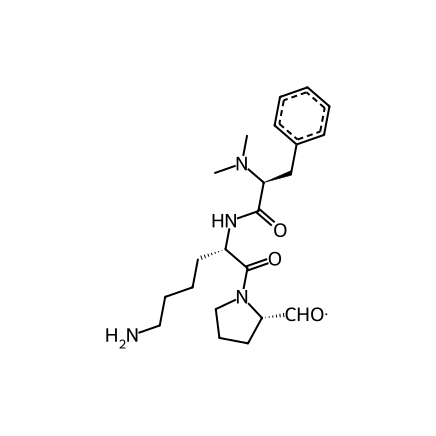 CN(C)[C@@H](Cc1ccccc1)C(=O)N[C@@H](CCCCN)C(=O)N1CCC[C@H]1[C]=O